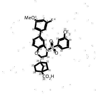 COc1cc(F)cc(-c2ccc3c(c2)N(S(=O)(=O)c2cccc(C(F)(F)F)c2)C[C@H](C24CCC(C(=O)O)(CC2)C4)O3)c1